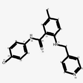 Cc1ccc(NCc2ccncc2)c(C(=O)Nc2ccc(Cl)cc2)c1